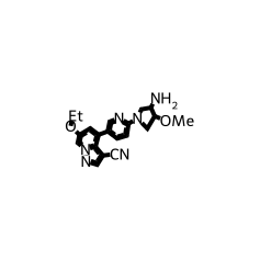 CCOc1cc(-c2ccc(N3CC(N)C(OC)C3)nc2)c2c(C#N)cnn2c1